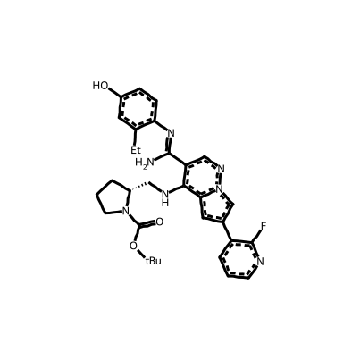 CCc1cc(O)ccc1/N=C(\N)c1cnn2cc(-c3cccnc3F)cc2c1NC[C@H]1CCCN1C(=O)OC(C)(C)C